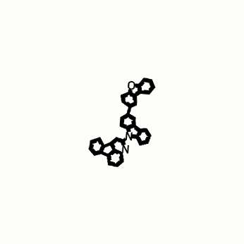 c1ccc2c(c1)-c1cccc3nc(-n4c5ccccc5c5cc(-c6ccc7oc8ccccc8c7c6)ccc54)cc-2c13